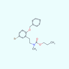 CCCOC(=O)N(C)CCc1cc(Br)ccc1OCc1ccccc1